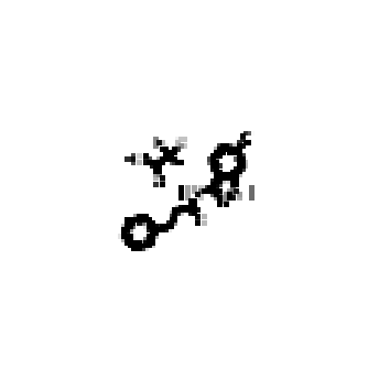 O=C(CCc1ccccc1)Nc1n[nH]c2cc(Cl)ccc12.O=C(O)C(F)(F)F